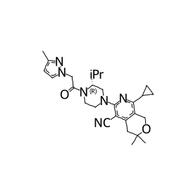 Cc1ccn(CC(=O)N2CCN(c3nc(C4CC4)c4c(c3C#N)CC(C)(C)OC4)C[C@H]2C(C)C)n1